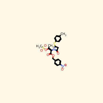 CC(OS(C)(=O)=O)=C(C(=O)OCc1ccc([N+](=O)[O-])cc1)N1C(=O)CC1Sc1ccc(C)cc1